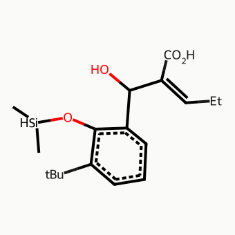 CCC=C(C(=O)O)C(O)c1cccc(C(C)(C)C)c1O[SiH](C)C